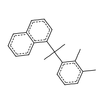 Cc1cccc(C(C)(C)c2cccc3ccccc23)c1C